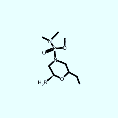 B[C@H]1CN(P(=O)(OC)N(C)C)CC(CC)O1